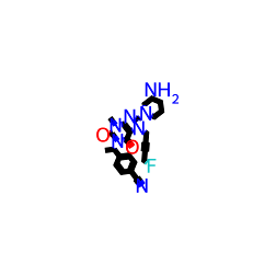 CC(c1ccc(C#N)cc1)n1c(=O)c2c(nc(N3CCC[C@@H](N)C3)n2CC#CCF)n(C)c1=O